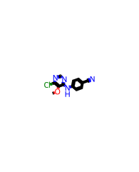 COc1c(Cl)ncnc1Nc1ccc(C#N)cc1